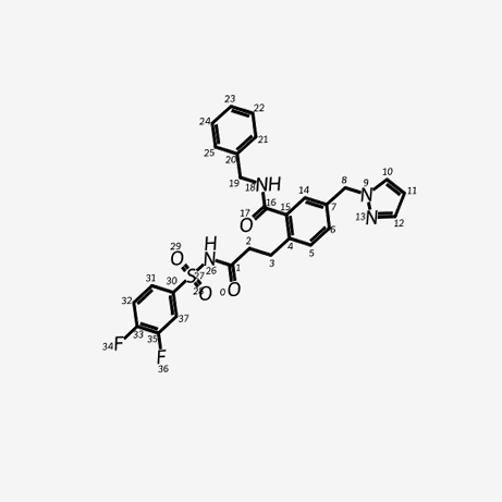 O=C(CCc1ccc(Cn2cccn2)cc1C(=O)NCc1ccccc1)NS(=O)(=O)c1ccc(F)c(F)c1